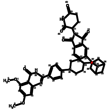 COc1cc(OC)c2c(=O)[nH]c(-c3ccc(N4CCC(CN5C6CC5CN(c5ccc7c(c5)C(=O)N(C5CCC(=O)NC5=O)C7=O)C6)CC4)cc3)nc2c1